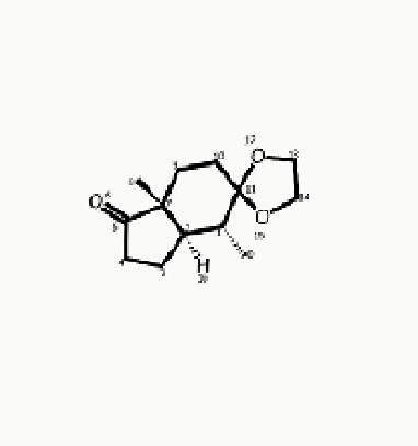 C[C@@H]1[C@H]2CCC(=O)[C@]2(C)CCC12OCCO2